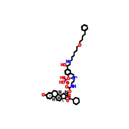 C[C@]12C=CC(=O)C=C1CC[C@@H]1[C@@H]2CC[C@@]2(C)[C@H]1C[C@H]1O[C@@H](C3CCCCC3)O[C@]12C(=O)COC(=O)NCC[N+](C)(C)Cc1cc(C(O)CNCCCCCCOCCCCc2ccccc2)ccc1OP(=O)(O)O